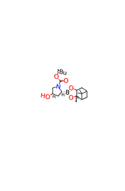 CC(C)(C)OC(=O)N1C[C@H](O)C[C@H]1B1OC2CC3CC(C3(C)C)[C@]2(C)O1